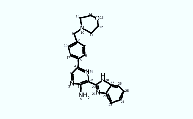 Nc1ncc(-c2ccc(CN3CCOCC3)cc2)nc1-c1nc2ccccc2[nH]1